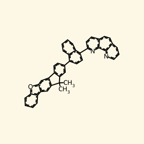 CC1(C)c2cc(-c3ccc(-c4ccc5ccc6cccnc6c5n4)c4ccccc34)ccc2-c2cc3oc4ccccc4c3cc21